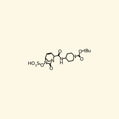 CC(C)(C)OC(=O)N1CCC(NC(=O)C2C=CC3CN2C(=O)N3OS(=O)(=O)O)CC1